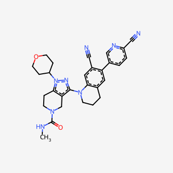 CNC(=O)N1CCc2c(c(N3CCCc4cc(-c5ccc(C#N)nc5)c(C#N)cc43)nn2C2CCOCC2)C1